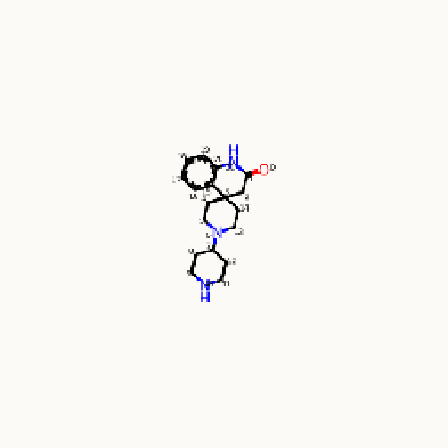 O=C1CC2(CCN(C3CCNCC3)CC2)c2ccccc2N1